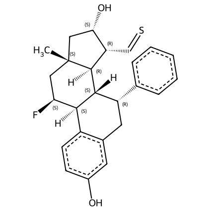 C[C@@]12C[C@H](O)[C@H](C=S)[C@H]1[C@H]1[C@@H](c3ccc(O)cc3C[C@H]1c1ccccc1)[C@@H](F)C2